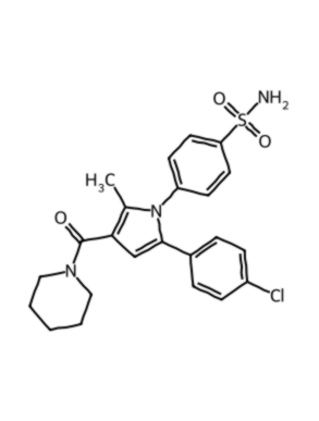 Cc1c(C(=O)N2CCCCC2)cc(-c2ccc(Cl)cc2)n1-c1ccc(S(N)(=O)=O)cc1